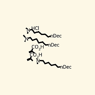 C=C(C)C(=O)O.C=C(C)C(=O)O.CCCCCCCCCCCCCCCCN(C)C.CCCCCCCCCCCCCCCCN(C)C.CCCCCCCCCCCCCCCCN(C)C.Cl